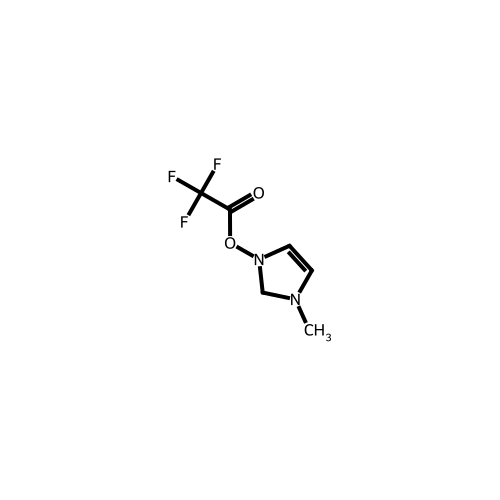 CN1C=CN(OC(=O)C(F)(F)F)C1